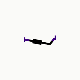 IC#CCI